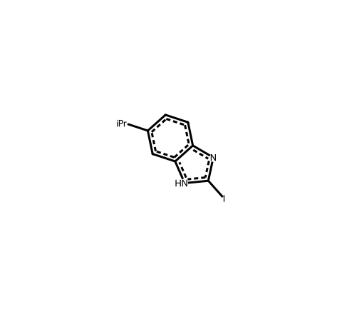 CC(C)c1ccc2nc(I)[nH]c2c1